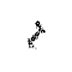 C=Cc1nc(N2CCN(S(=O)(=O)c3ccc(N4CC(N)CC4=O)cc3)CC2)cc(C(F)(F)c2ccccc2)n1